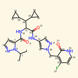 CC(C)n1nccc1C(=O)NC(C(=O)Nc1cnn(Cc2c(F)cc[nH]c2=O)c1)C(C1CC1)C1CC1